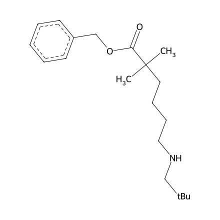 CC(C)(C)CNCCCCC(C)(C)C(=O)OCc1ccccc1